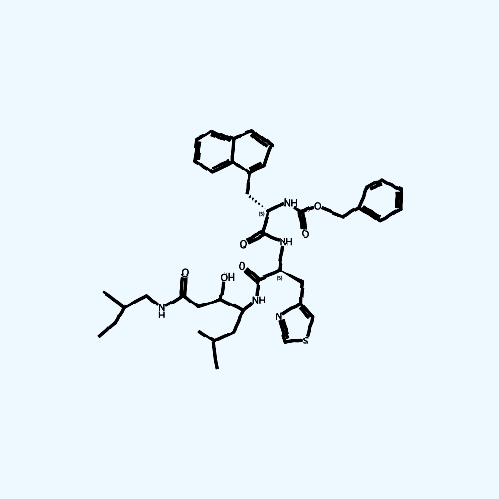 CCC(C)CNC(=O)CC(O)C(CC(C)C)NC(=O)[C@H](Cc1cscn1)NC(=O)[C@H](Cc1cccc2ccccc12)NC(=O)OCc1ccccc1